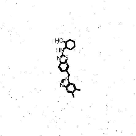 Cc1cc2ncn(Cc3ccc4nc(NC5CCCCC5O)sc4c3)c2cc1C